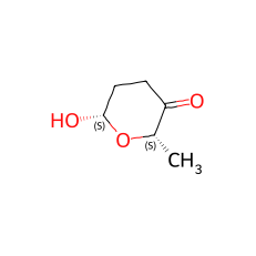 C[C@@H]1O[C@H](O)CCC1=O